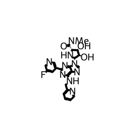 CNC(=O)[C@H]1N[C@@H](n2cnc3c(NCc4ccccn4)nc(-c4cncc(F)c4)nc32)[C@H](O)[C@@H]1O